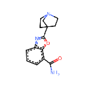 NC(=O)c1cccc2nc(C34CCN(CC3)C4)oc12